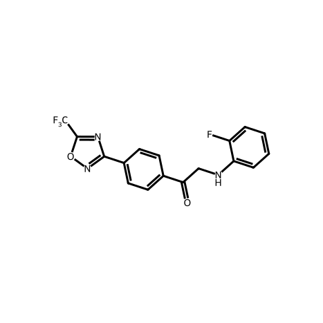 O=C(CNc1ccccc1F)c1ccc(-c2noc(C(F)(F)F)n2)cc1